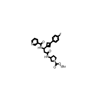 CC(C)(C)OC(=O)N1CCC(NC(=O)CC(NC(=O)c2cccnc2)C23CC(c4ccc(F)cc4)(C2)C3)C1